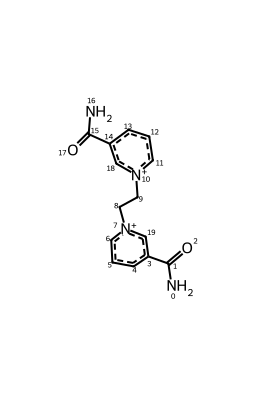 NC(=O)c1ccc[n+](CC[n+]2cccc(C(N)=O)c2)c1